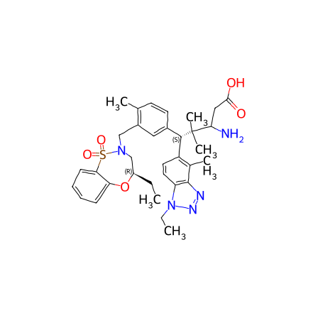 CC[C@@H]1CN(Cc2cc([C@@H](c3ccc4c(nnn4CC)c3C)C(C)(C)C(N)CC(=O)O)ccc2C)S(=O)(=O)c2ccccc2O1